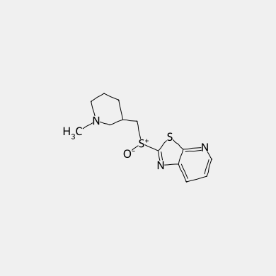 CN1CCCC(C[S+]([O-])c2nc3cccnc3s2)C1